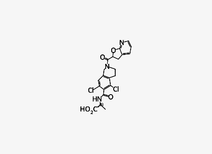 C[C@H](NC(=O)c1c(Cl)cc2c(c1Cl)CCN(C(=O)C1Cc3cccnc3O1)C2)C(=O)O